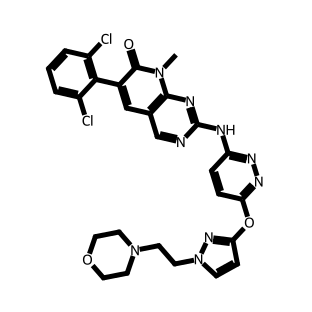 Cn1c(=O)c(-c2c(Cl)cccc2Cl)cc2cnc(Nc3ccc(Oc4ccn(CCN5CCOCC5)n4)nn3)nc21